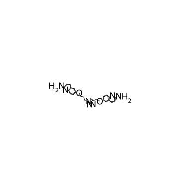 Nc1ccc2cc(OCCCn3cc(COc4ccc5nc(N)ccc5c4)nn3)ccc2n1